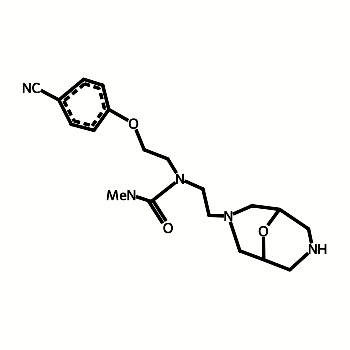 CNC(=O)N(CCOc1ccc(C#N)cc1)CCN1CC2CNCC(C1)O2